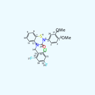 COc1ccc(N2Sc3ccccc3N(Cc3c(F)cc(F)cc3Cl)C2=O)cc1OC